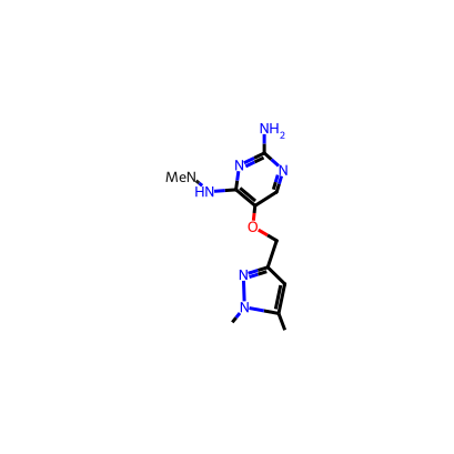 CNNc1nc(N)ncc1OCc1cc(C)n(C)n1